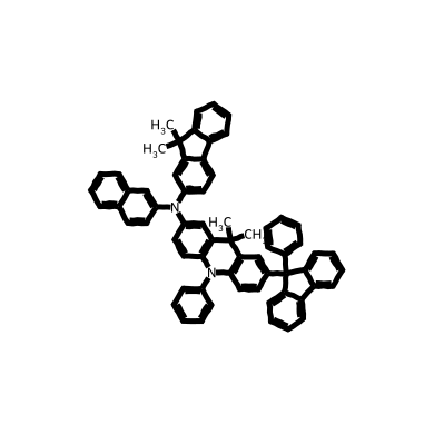 CC1(C)c2ccccc2-c2ccc(N(c3ccc4c(c3)C(C)(C)c3cc(C5(c6ccccc6)c6ccccc6-c6ccccc65)ccc3N4c3ccccc3)c3ccc4ccccc4c3)cc21